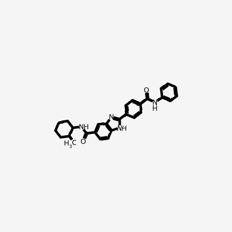 CC1CCCCC1NC(=O)c1ccc2[nH]c(-c3ccc(C(=O)Nc4ccccc4)cc3)nc2c1